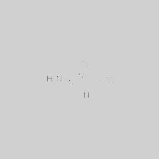 NN1CN=C(O)N1S